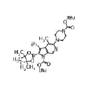 Cc1c(N2CCN(C(=O)OC(C)(C)C)CC2)ncc2c1c(C(C)C)c(B1OC(C)(C)C(C)(C)O1)n2C(=O)OC(C)(C)C